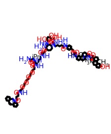 CC(C)[C@H](NC(=O)[C@@H](CCCCNC(=O)COC1CCCC(N(CCCCC(=O)Nc2ccc(COC(=O)Nc3ccc4c(c3)[C@@]3(C)CCC[C@](C)(C(=O)NC(=O)[C@@]5(C)CCC[C@]6(C)c7cc(O)ccc7CC[C@@H]56)C3CC4)cc2)C(N)=O)C/C(N[C@@H]2O[C@H](CO)[C@H](O)C[C@H]2O)=C\1N)NC(=O)CCOCCOCCOCCOCCNC(=O)CCC(=O)N1Cc2ccccc2C#Cc2ccccc21)C(N)=O